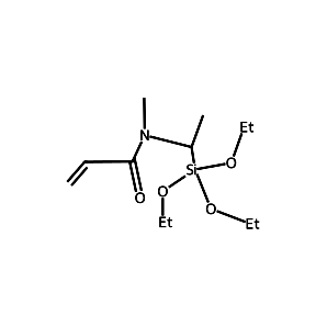 C=CC(=O)N(C)C(C)[Si](OCC)(OCC)OCC